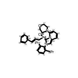 CC(C)c1cccc(C(C)C)c1-n1cc2cccc(N3CCOCC3)n2[c]1=[Pd]([Cl])[CH2]C=Cc1ccccc1